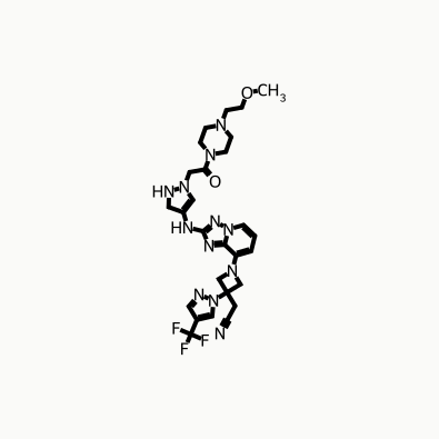 COCCN1CCN(C(=O)CN2C=C(Nc3nc4c(N5CC(CC#N)(n6cc(C(F)(F)F)cn6)C5)cccn4n3)CN2)CC1